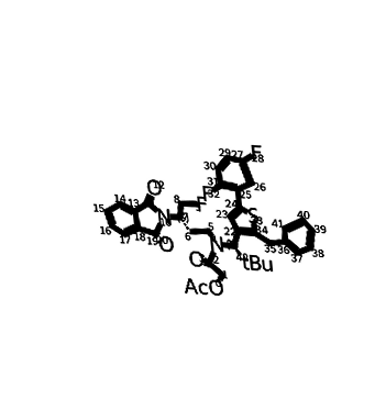 CC(=O)OCC(=O)N(CC[C@@H](CF)N1C(=O)c2ccccc2C1=O)[C@@H](c1cc(-c2cc(F)ccc2F)sc1Cc1ccccc1)C(C)(C)C